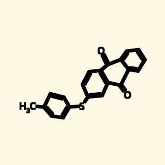 Cc1ccc(Sc2ccc3c(c2)C(=O)c2ccccc2C3=O)cc1